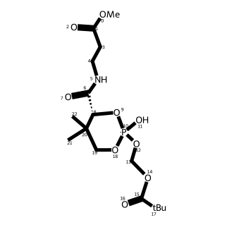 COC(=O)CCNC(=O)[C@@H]1O[P](O)(OCOC(=O)C(C)(C)C)OCC1(C)C